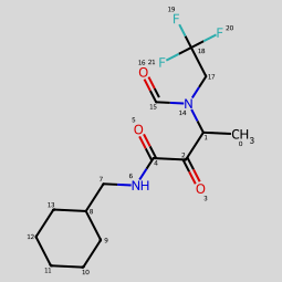 CC(C(=O)C(=O)NCC1CCCCC1)N(C=O)CC(F)(F)F